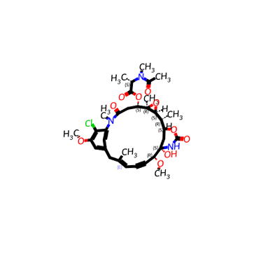 COc1cc2cc(c1Cl)N(C)C(=O)C[C@H](OC(=O)[C@H](C)N(C)C(C)=O)[C@@]1(C)O[C@H]1[C@H](C)[C@@H]1C[C@@](O)(NC(=O)O1)[C@H](OC)C#C/C=C(\C)C2